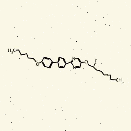 CCCCCCOc1ccc(-c2ccc(-c3ncc(OC[C@@H](F)CCCCCC)cn3)cc2)cc1